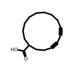 O=C(O)C1CCC#CC#CCCCCCCCC1